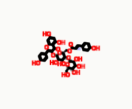 O=C(/C=C/c1ccc(O)cc1)OC[C@H]1O[C@@H](Oc2c(-c3ccc(O)cc3)oc3cc(O)cc(O)c3c2=O)C(O)C(O)[C@@H]1O[C@@H]1O[C@H](CO)[C@@H](O)C(O)C1O